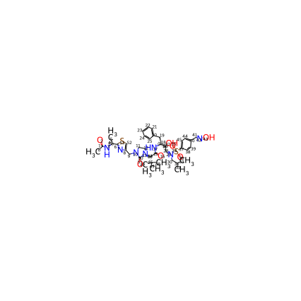 CC(=O)N[C@@H](C)c1nc(CN2CCN([C@H](C(=O)N[C@@H](Cc3ccccc3)[C@@H](O)CN(CC(C)C)S(=O)(=O)c3ccc(C=NO)cc3)C(C)(C)C)C2=O)cs1